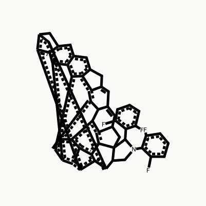 Fc1cccc(F)c1C1N(c2c(F)cccc2F)CC2c3cc4c5c6c(cc7cc8c9c%10c%11c%12c%13c%14c%15c(c%16c3c5c(c%16%13)c3c6c7c9c%123)C21CC%15C=C(C=C%10C8)C%14%11)C4